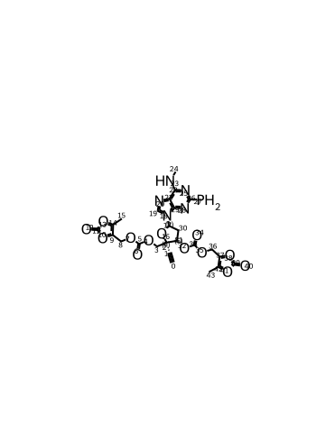 C#C[C@]1(COC(=O)OCc2oc(=O)oc2C)O[C@@H](n2cnc3c(NC)nc(P)nc32)C[C@@H]1OC(=O)OCc1oc(=O)oc1C